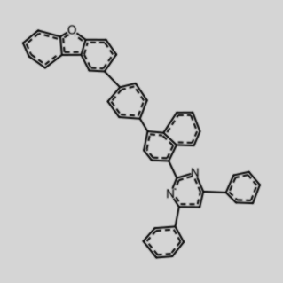 c1ccc(-c2cc(-c3ccccc3)nc(-c3ccc(-c4ccc(-c5ccc6oc7ccccc7c6c5)cc4)c4ccccc34)n2)cc1